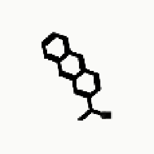 [CH2]C(O)c1ccc2cc3ccccc3cc2c1